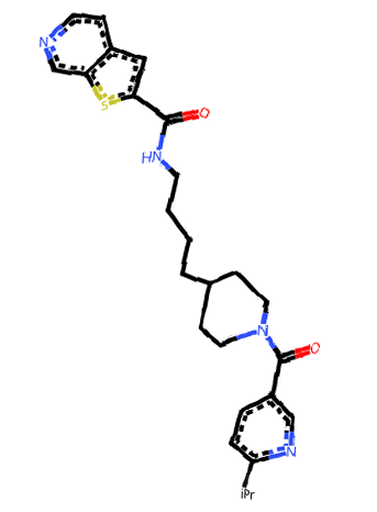 CC(C)c1ccc(C(=O)N2CCC(CCCCNC(=O)c3cc4ccncc4s3)CC2)cn1